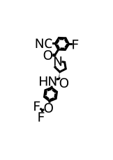 N#Cc1ccc(F)cc1C(=O)N1CC[C@H](C(=O)Nc2ccc(OC(F)F)cc2)C1